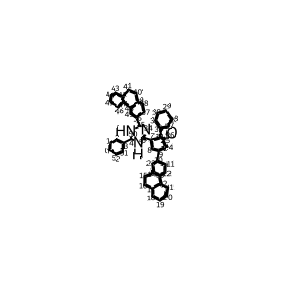 c1ccc(C2NC(c3cc(-c4ccc5c(ccc6ccccc65)c4)cc4oc5ccccc5c34)=NC(c3ccc4ccc5ccccc5c4c3)N2)cc1